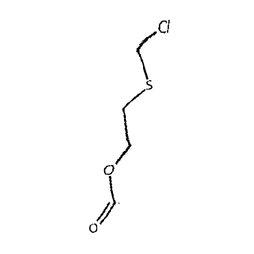 O=[C]OCCSCCl